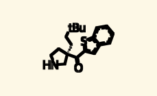 CC(C)(C)CC[C@@]1(C(=O)c2cc3ccccc3s2)CCNC1